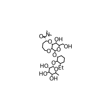 CC[C@@H]1CCC[C@@H](O[C@@H]2OC(CO)[C@H](O)C3O[C@@H](C(=O)N(C)C)CCCOC32)C1O[C@@H]1OC(C)[C@@H](O)C(O)[C@@H]1O